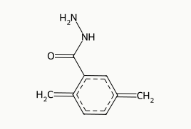 C=c1ccc(=C)c(C(=O)NN)c1